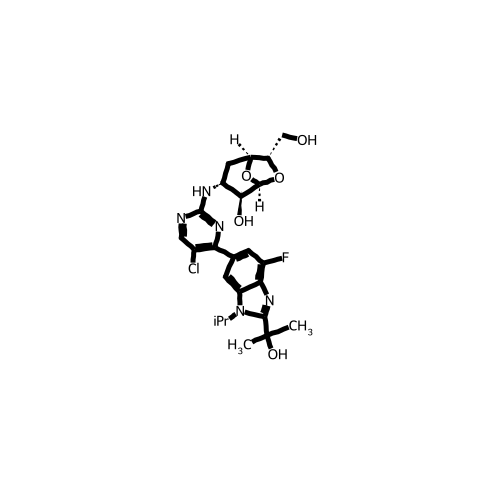 CC(C)n1c(C(C)(C)O)nc2c(F)cc(-c3nc(N[C@@H]4C[C@@H]5O[C@@H](O[C@H]5CO)[C@H]4O)ncc3Cl)cc21